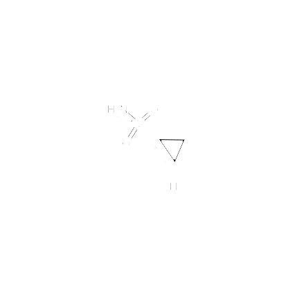 C[C@H]1C[C@H]1S(N)(=O)=O